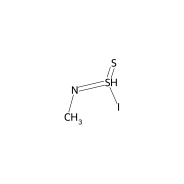 CN=[SH](=S)I